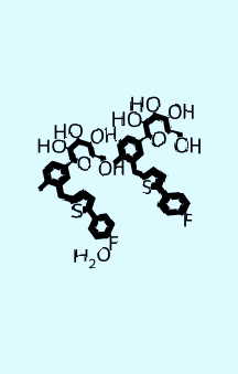 Cc1ccc([C@@H]2O[C@H](CO)[C@@H](O)[C@H](O)[C@H]2O)cc1Cc1ccc(-c2ccc(F)cc2)s1.Cc1ccc([C@@H]2O[C@H](CO)[C@@H](O)[C@H](O)[C@H]2O)cc1Cc1ccc(-c2ccc(F)cc2)s1.O